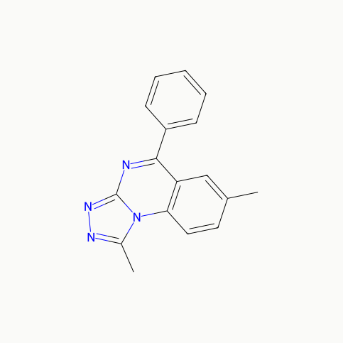 Cc1ccc2c(c1)c(-c1ccccc1)nc1nnc(C)n12